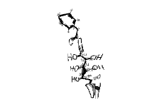 O=C(Cc1ccccc1)OC(O)[C@@H](O)[C@@H](O)[C@H](O)[C@H](O)CO